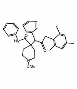 CON1CCC(C(=O)Nc2ccccc2)(N(C(=O)Cc2c(C)cc(C)cc2C)c2ccccc2)CC1